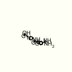 N=C(N)c1ccc2oc(C(=O)NC3CCN(CCC(=O)O)CC3)cc2c1